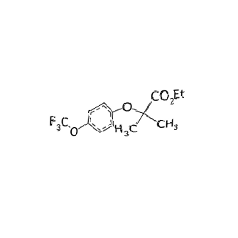 CCOC(=O)C(C)(C)Oc1ccc(OC(F)(F)F)cc1